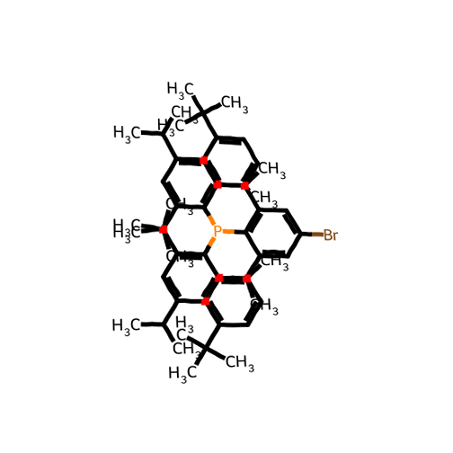 CC(C)c1cc(C(C)C)c(P(c2c(-c3ccc(C(C)(C)C)cc3)cc(Br)cc2-c2ccc(C(C)(C)C)cc2)c2c(C(C)C)cc(C(C)C)cc2C(C)C)c(C(C)C)c1